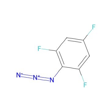 [N-]=[N+]=Nc1c(F)cc(F)cc1F